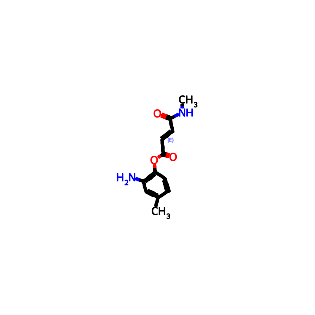 CNC(=O)/C=C/C(=O)Oc1ccc(C)cc1N